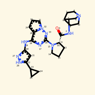 O=C(NC1CN2CCC1CC2)[C@@H]1CCCN1c1nc(Nc2cc(C3CC3)[nH]n2)c2cccn2n1